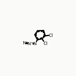 [N-]=[N+]=Nc1cccc(Cl)c1Cl